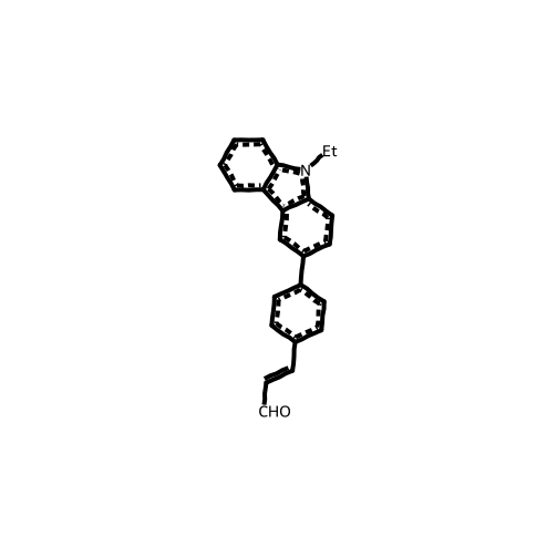 CCn1c2ccccc2c2cc(-c3ccc(C=CC=O)cc3)ccc21